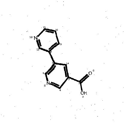 O=C(O)c1cncc(-c2cccnc2)c1